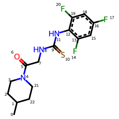 CC1CCN(C(=O)CNC(=S)Nc2c(F)cc(F)cc2F)CC1